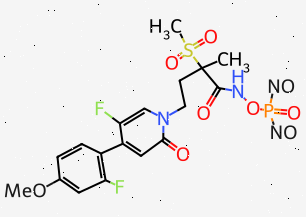 COc1ccc(-c2cc(=O)n(CCC(C)(C(=O)NOP(=O)(N=O)N=O)S(C)(=O)=O)cc2F)c(F)c1